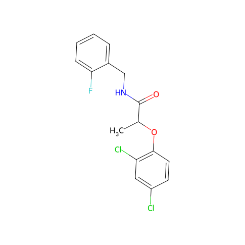 CC(Oc1ccc(Cl)cc1Cl)C(=O)NCc1ccccc1F